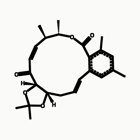 Cc1cc(C)c2c(c1)/C=C/C[C@@H]1OC(C)(C)O[C@@H]1C(=O)/C=C\[C@@H](C)[C@H](C)OC2=O